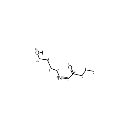 CCCC(=O)/C=N\CCCCO